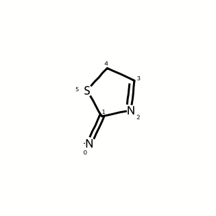 [N]=C1N=CCS1